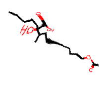 CCCCC(O)(C(=O)O)C(C)CCCCCCCCOC(C)=O